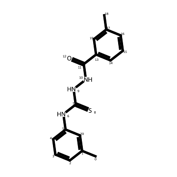 Cc1cccc(NC(=S)NNC(=O)c2cccc(C)c2)c1